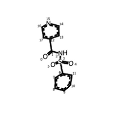 O=C(NS(=O)(=O)c1ccccc1)c1ccncc1